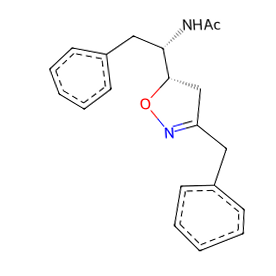 CC(=O)N[C@@H](Cc1ccccc1)[C@@H]1CC(Cc2ccccc2)=NO1